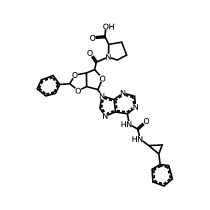 O=C(Nc1ncnc2c1ncn2C1OC(C(=O)N2CCCC2C(=O)O)C2OC(c3ccccc3)OC21)NC1CC1c1ccccc1